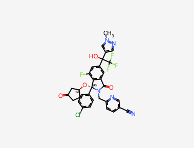 Cn1cc(C(O)(c2cc(F)c3c(c2)C(=O)N(Cc2ccc(C#N)cn2)[C@@]3(O[C@H]2CCC(=O)C2)c2ccc(Cl)cc2)C(F)(F)F)cn1